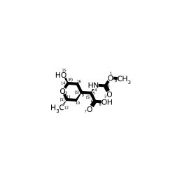 COC(=O)N[C@H](C(=O)O)[C@H]1C[C@H](C)O[C@@H](O)C1